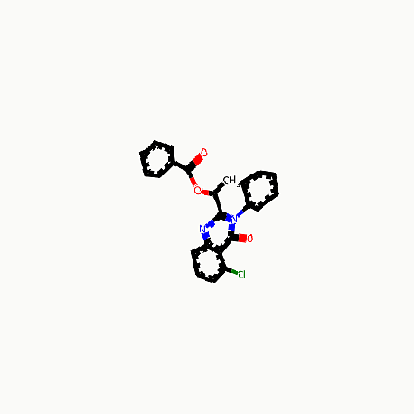 CC(OC(=O)c1ccccc1)c1nc2cccc(Cl)c2c(=O)n1-c1ccccc1